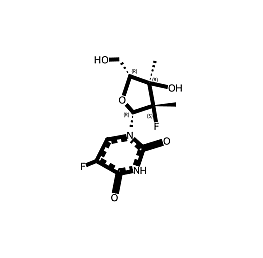 C[C@@]1(O)[C@@H](CO)O[C@@H](n2cc(F)c(=O)[nH]c2=O)[C@@]1(C)F